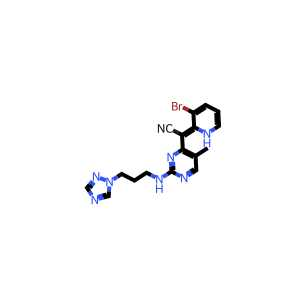 Cc1cnc(NCCCn2cncn2)nc1C(C#N)=C1NC=CC=C1Br